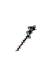 CCCCCCCCCCCCCCCC(=O)OC[C@H]1O[C@@H](n2cc(C)c(=O)[nH]c2=O)CC1F